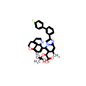 Cc1cc2nc(-c3cccc(-c4ccc(F)cc4)c3)cn2c(-c2ccc3c4c(ccnc24)CCO3)c1C(OC(C)(C)C)C(=O)O